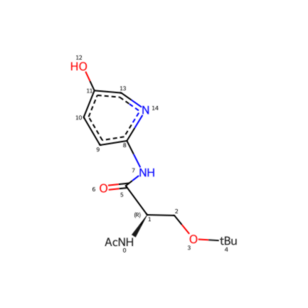 CC(=O)N[C@H](COC(C)(C)C)C(=O)Nc1ccc(O)cn1